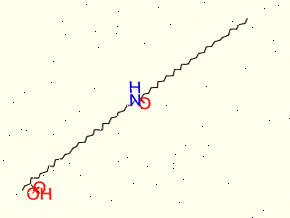 CCCCCCCCCCCCCCCCCCCCCCCCCCCC(=O)NCCCCCCCCCCCCCCCCCCCCCCCCCCC(CC)C(=O)O